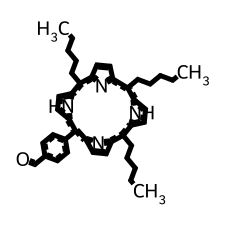 CCCCCc1c2nc(c(CCCCC)c3ccc([nH]3)c(-c3ccc(C=O)cc3)c3nc(c(CCCCC)c4ccc1[nH]4)C=C3)C=C2